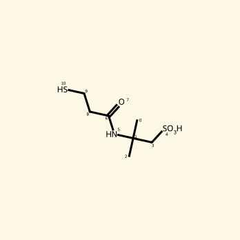 CC(C)(CS(=O)(=O)O)NC(=O)CCS